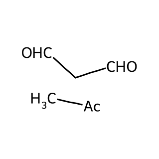 CC(C)=O.O=CCC=O